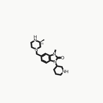 C[C@H]1CN(Cc2ccc3c(c2)n(C)c(=O)n3C2CCCNC2)CCN1